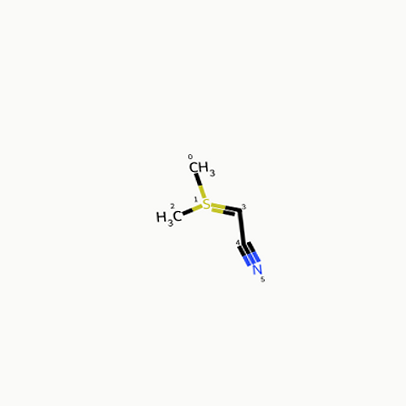 CS(C)=CC#N